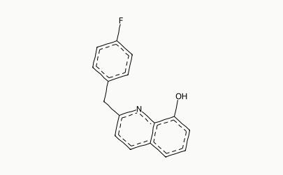 Oc1cccc2ccc(Cc3ccc(F)cc3)nc12